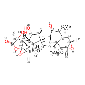 COC1C(=O)C[C@H]([C@H](OC(C)=O)[C@H](OC(C)=O)[C@]2(C)[C@H]3[C@H](C)[C@H]4O[C@]45OC(=O)[C@@](C)(O)[C@]5(C)[C@@H]3[C@H](O)[C@H]2C)[C@]2(C)[C@@H]1C[C@@H]1O[C@@H]1[C@@H]2OC(C)=O